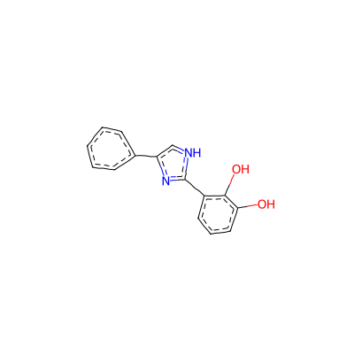 Oc1cccc(-c2nc(-c3ccccc3)c[nH]2)c1O